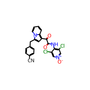 N#Cc1ccc(Cc2cc(C(=O)C(=O)Nc3c(Cl)c[n+]([O-])cc3Cl)c3ccccn23)cc1